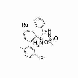 CS(=O)(=O)N[C@@H](c1ccccc1)[C@@H](N)c1ccccc1.Cc1ccc(C(C)C)cc1.[Ru]